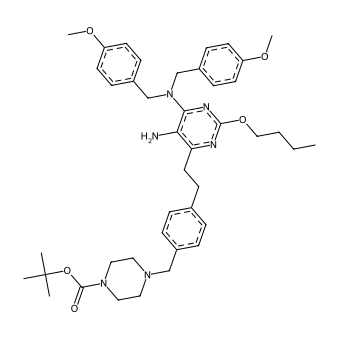 CCCCOc1nc(CCc2ccc(CN3CCN(C(=O)OC(C)(C)C)CC3)cc2)c(N)c(N(Cc2ccc(OC)cc2)Cc2ccc(OC)cc2)n1